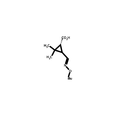 CCC(C)O/N=C/C1[C@@H](C(=O)O)C1(C)C